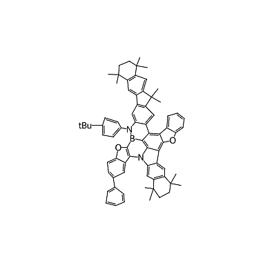 CC(C)(C)c1ccc(N2B3c4oc5ccc(-c6ccccc6)cc5c4-n4c5cc6c(cc5c5c7oc8ccccc8c7c(c3c54)-c3cc4c(cc32)-c2cc3c(cc2C4(C)C)C(C)(C)CCC3(C)C)C(C)(C)CCC6(C)C)cc1